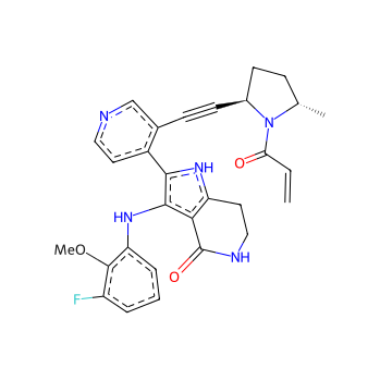 C=CC(=O)N1[C@@H](C)CC[C@@H]1C#Cc1cnccc1-c1[nH]c2c(c1Nc1cccc(F)c1OC)C(=O)NCC2